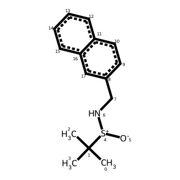 CC(C)(C)[S+]([O-])NCc1ccc2ccccc2c1